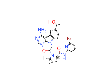 CC(O)c1ccc2c(c1)c1c(N)ncnc1n2CC(=O)N1[C@@H]2CC2C[C@H]1C(=O)Nc1cccc(Br)n1